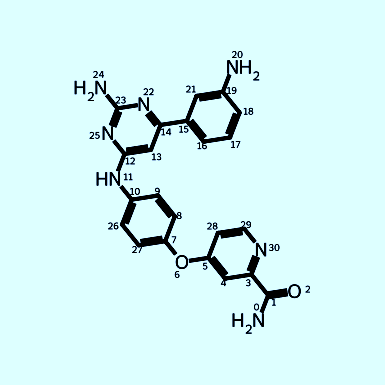 NC(=O)c1cc(Oc2ccc(Nc3cc(-c4cccc(N)c4)nc(N)n3)cc2)ccn1